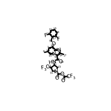 Cc1cc(OCc2c(F)cccc2F)c2nc(C)c(C(=O)NC3CN(C(=O)OC(=O)C(F)(F)F)CC3C(F)(F)F)n2c1